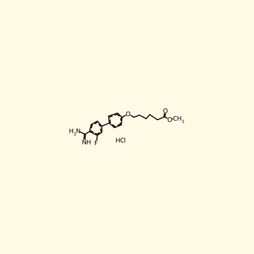 COC(=O)CCCCCOc1ccc(-c2ccc(C(=N)N)c(F)c2)cc1.Cl